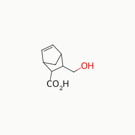 O=C(O)C1C2C=CC(C2)C1CO